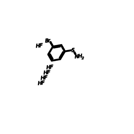 F.F.F.F.F.NSc1cccc(Br)c1